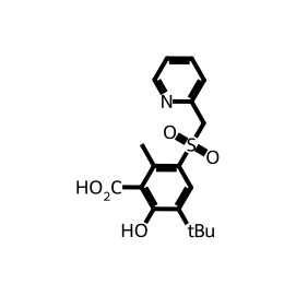 Cc1c(S(=O)(=O)Cc2ccccn2)cc(C(C)(C)C)c(O)c1C(=O)O